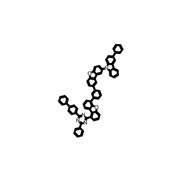 c1ccc(-c2ccc(-c3nc(-c4ccccc4)nc(-c4cccc5oc6c(-c7cccc(-c8ccc9oc%10ccc(-n%11c%12ccccc%12c%12cc(-c%13ccccc%13)ccc%12%11)cc%10c9c8)c7)cccc6c45)n3)cc2)cc1